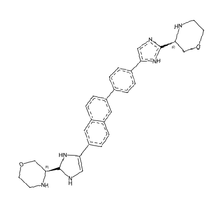 C1=C(c2ccc3cc(-c4ccc(-c5cnc([C@@H]6COCCN6)[nH]5)cc4)ccc3c2)NC([C@@H]2COCCN2)N1